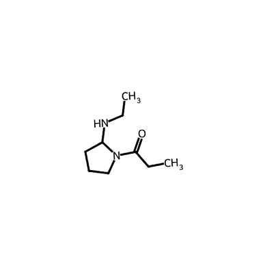 CCNC1CCCN1C(=O)CC